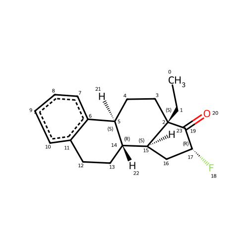 CC[C@]12CC[C@@H]3c4cc[c]cc4CC[C@H]3[C@@H]1C[C@@H](F)C2=O